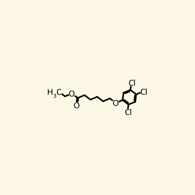 CCOC(=O)CCCCCOc1cc(Cl)c(Cl)cc1Cl